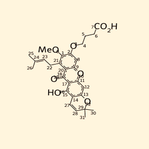 COc1c(OCCCC(=O)O)cc2oc3cc4c(c(O)c3c(=O)c2c1CC=C(C)C)C=CC(C)(C)O4